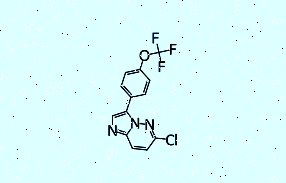 FC(F)(F)Oc1ccc(-c2cnc3ccc(Cl)nn23)cc1